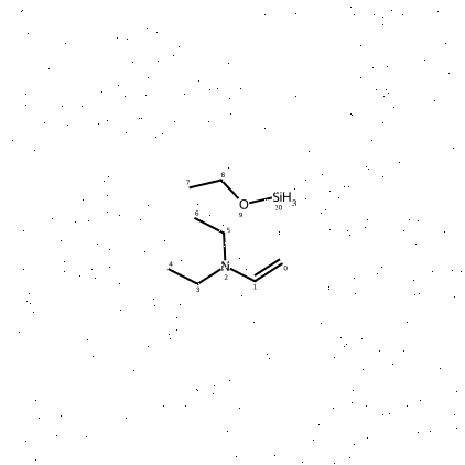 C=CN(CC)CC.CCO[SiH3]